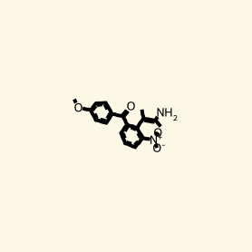 COc1ccc(C(=O)c2cccc([N+](=O)[O-])c2C(C)=C(C)N)cc1